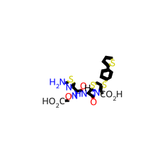 Nc1nc(C(=NOCC(=O)O)C(=O)N[C@@H]2C(=O)N3C(C(=O)O)=C(Sc4ccc(-c5cccs5)cc4)CS[C@@H]23)cs1